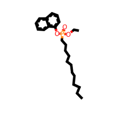 CCCCCCCCCCCCP(=O)(OCC)Oc1cccc2ccccc12